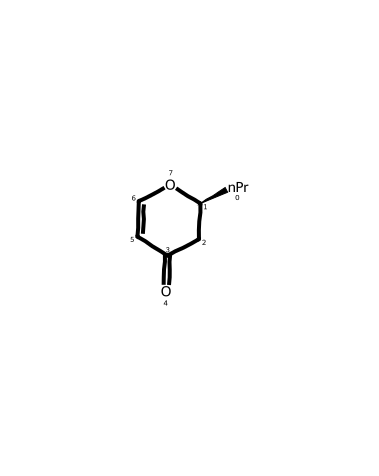 CCC[C@H]1CC(=O)C=CO1